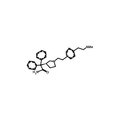 CNCCc1ccc(CCN2CC[C@@H](C(C(N)=O)(c3ccccc3)c3ccccc3)C2)cc1